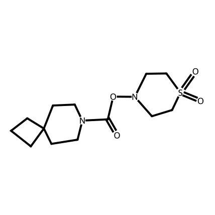 O=C(ON1CCS(=O)(=O)CC1)N1CCC2(CCC2)CC1